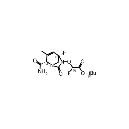 CC[C@@H](C)OC(=O)[C@@H](F)ON1C(=O)N2C[C@H]1C=C(C)[C@H]2C(N)=O